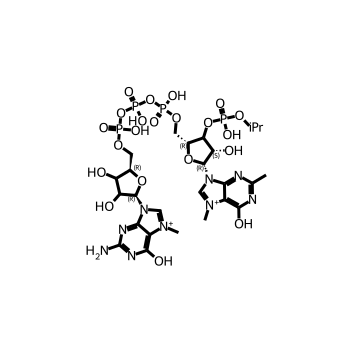 Cc1nc(O)c2c(n1)n([C@@H]1O[C@H](COP(=O)(O)OP(=O)(O)OP(=O)(O)OC[C@H]3O[C@@H](n4c[n+](C)c5c(O)nc(N)nc54)C(O)C3O)C(OP(=O)(O)OC(C)C)[C@@H]1O)c[n+]2C